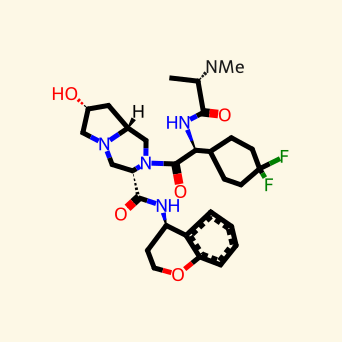 CN[C@@H](C)C(=O)N[C@H](C(=O)N1C[C@H]2C[C@@H](O)CN2C[C@H]1C(=O)N[C@@H]1CCOc2ccccc21)C1CCC(F)(F)CC1